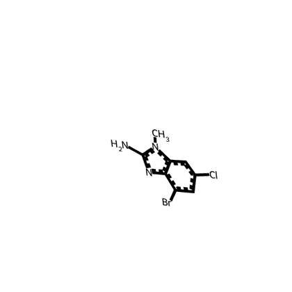 Cn1c(N)nc2c(Br)cc(Cl)cc21